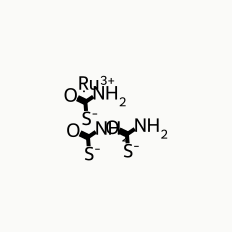 NC(=O)[S-].NC(=O)[S-].NC(=O)[S-].[Ru+3]